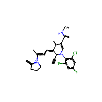 C#CC1/C(=C\C=C(/C)N2CCCC2=C)C(C)C(C(=C)NCCC)=CN1c1c(F)cc(F)cc1Cl